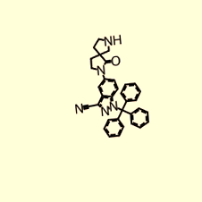 N#Cc1nn(C(c2ccccc2)(c2ccccc2)c2ccccc2)c2ccc(N3CCC4(CCNC4)C3=O)cc12